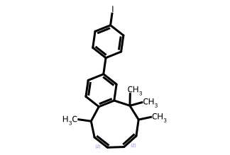 CC1/C=C\C=C/C(C)C(C)(C)c2cc(-c3ccc(I)cc3)ccc21